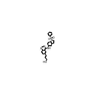 O=S(=O)(c1ccccc1)n1ccc2cc(Nc3ncnc4ccc(C=CCO)cc34)ccc21